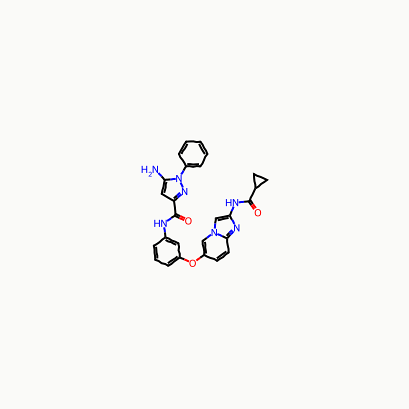 Nc1cc(C(=O)Nc2cccc(Oc3ccc4nc(NC(=O)C5CC5)cn4c3)c2)nn1-c1ccccc1